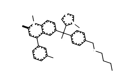 CCCCNCc1ccc(C(O)(c2ccc3c(c2)c(-c2cccc(Cl)c2)cc(=O)n3C)c2cncn2C)cc1